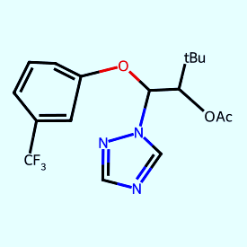 CC(=O)OC(C(Oc1cccc(C(F)(F)F)c1)n1cncn1)C(C)(C)C